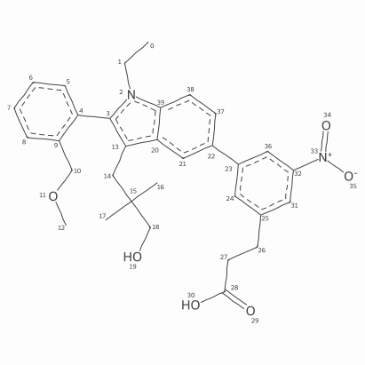 CCn1c(-c2ccccc2COC)c(CC(C)(C)CO)c2cc(-c3cc(CCC(=O)O)cc([N+](=O)[O-])c3)ccc21